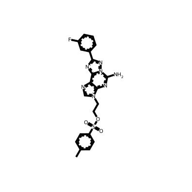 Cc1ccc(S(=O)(=O)OCCn2cnc3c2nc(N)n2nc(-c4cccc(F)c4)nc32)cc1